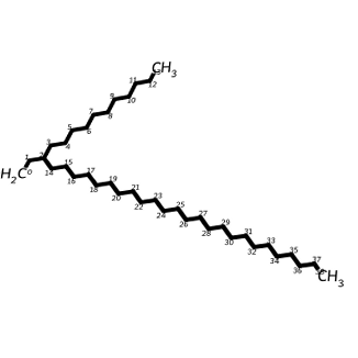 [CH2]CC(CCCCCCCCCCC)CCCCCCCCCCCCCCCCCCCCCCCCC